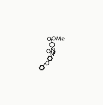 COC(=O)[C@H]1CC[C@H](n2ccn(-c3ccc(OCc4ccccc4)cc3)c2=O)CC1